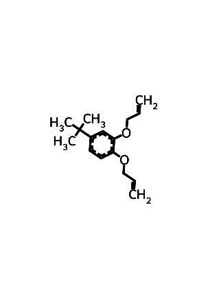 C=CCOc1ccc(C(C)(C)C)cc1OCC=C